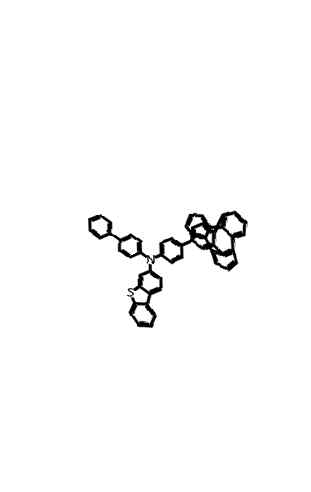 c1ccc(-c2ccc(N(c3ccc(-c4ccc5c(c4)-c4c6cccc4-c4cccc-5c4-c4ccccc4-6)cc3)c3ccc4c(c3)sc3ccccc34)cc2)cc1